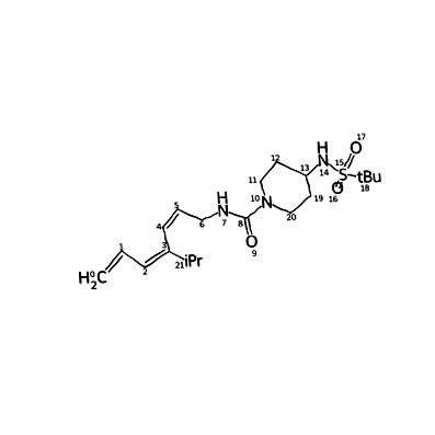 C=C/C=C(\C=C/CNC(=O)N1CCC(NS(=O)(=O)C(C)(C)C)CC1)C(C)C